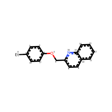 CCc1ccc(OCc2ccc3ccccc3n2)cc1